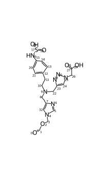 O=COCn1cnc(CN(CCc2ccc(N[SH](=O)=O)cc2)Cc2cn(CC(=O)O)nn2)c1